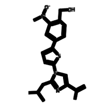 C=C(C)c1cn(-c2ccc(-c3ccc(CO)c([S+](C)[O-])c3)s2)c(CC(C)C)n1